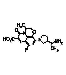 CC(N)[C@@H]1CCN(c2cc(F)c3cc(C(=O)O)c(=O)n4c3c2OC[C@@H]4C)C1